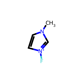 Cn1cc[n+](F)c1